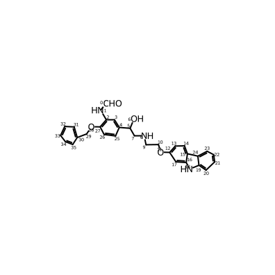 O=CNc1cc(C(O)CNCCOc2ccc3c(c2)[nH]c2ccccc23)ccc1OCc1ccccc1